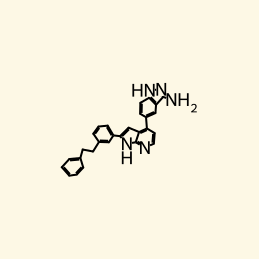 Nc1n[nH]c2ccc(-c3ccnc4[nH]c(-c5cccc(CCc6ccccc6)c5)cc34)cc12